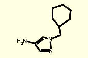 Nc1cnn(CC2CCCCC2)c1